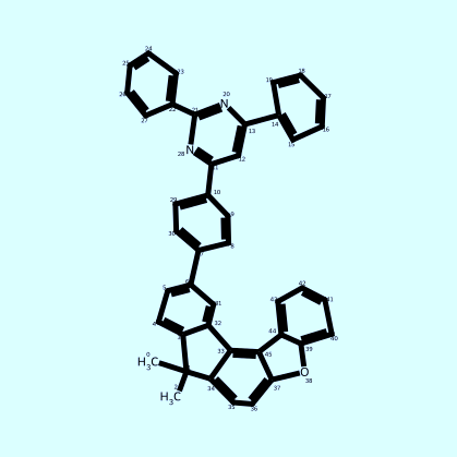 CC1(C)c2ccc(-c3ccc(-c4cc(-c5ccccc5)nc(-c5ccccc5)n4)cc3)cc2-c2c1ccc1oc3ccccc3c21